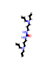 C=CCN(CC=C)CCCNC(=O)NCCCN(CC=C)CC=C